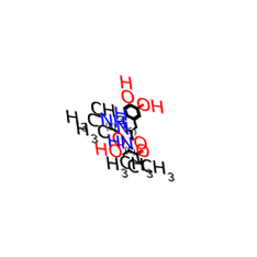 CC(C)N[C@@H](C)C(=O)N[C@@H](Cc1ccc(O)c(O)c1)C(=O)N[C@H](C(=O)C(C)C)C(C)O